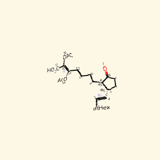 CCCCCC/C=C/[C@H]1CCC(=O)[C@@H]1CCCC/C(OC(C)=O)=C(\OC(C)=O)C(=O)O